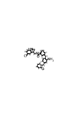 Nc1cc(Cn2ccccc2=O)ccc1Cc1cncc(C(=O)NCc2n[nH]c3ccc(Cl)cc23)c1